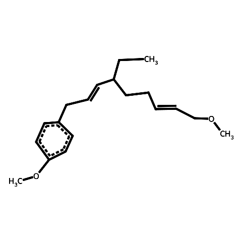 CCC(/C=C/Cc1ccc(OC)cc1)CC/C=C/COC